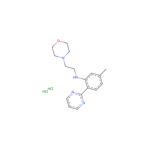 Cc1ccc(-c2ncccn2)c(NCCN2CCOCC2)c1.Cl.Cl